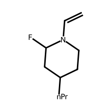 C=CN1CCC(CCC)CC1F